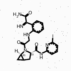 N=C(C(N)=O)c1ccccc1NCC(=O)N1[C@@H]2CC2C[C@H]1C(=O)Nc1cccc(I)n1